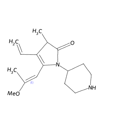 C=CC1=C(/C=C(\C)OC)N(C2CCNCC2)C(=O)C1C